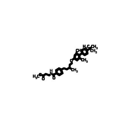 COC(=O)CCNC(=O)c1ccc(CCC(C)CCOc2cc(C)c(-c3ccc(C(C)(C)C)cc3)c(C)c2)cc1